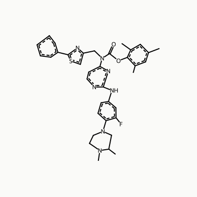 Cc1cc(C)c(OC(=O)N(Cc2csc(-c3ccccc3)n2)c2ccnc(Nc3ccc(N4CCN(C)C(C)C4)c(F)c3)n2)c(C)c1